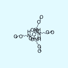 O=C(NCCCCOCC1CO1)c1cc(C(=O)NCCCCOCC2CO2)c(C(=O)NCCCCOCC2CO2)cc1C(=O)NCCCCOCC1CO1